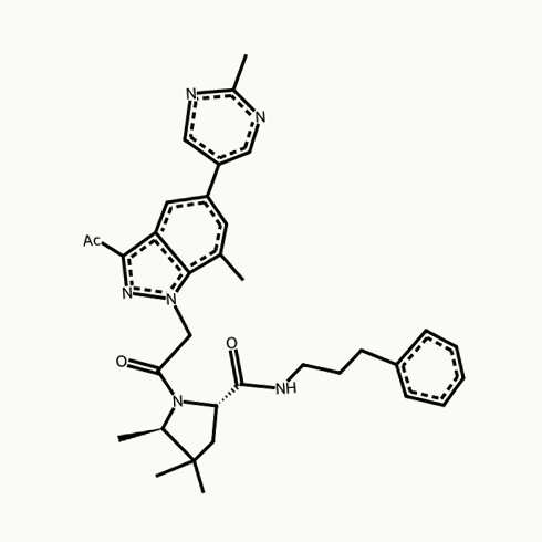 CC(=O)c1nn(CC(=O)N2[C@H](C(=O)NCCCc3ccccc3)CC(C)(C)[C@H]2C)c2c(C)cc(-c3cnc(C)nc3)cc12